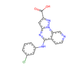 O=C(O)c1cc2nc(Nc3cccc(Cl)c3)c3ccncc3n2n1